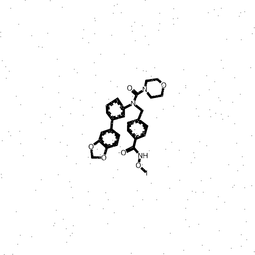 O=C(NOI)c1ccc(CN(C(=O)N2CCOCC2)c2cccc(-c3ccc4c(c3)OCO4)c2)cc1